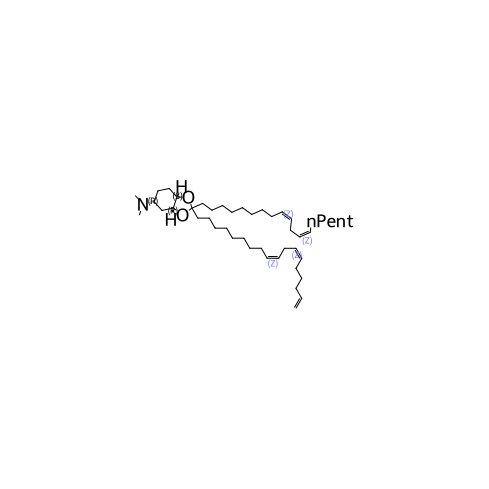 C=CCCC/C=C\C/C=C\CCCCCCCCC1(CCCCCCCC/C=C\C/C=C\CCCCC)O[C@H]2CC[C@@H](N(C)C)C[C@H]2O1